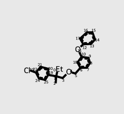 CCC(C)(COCc1cccc(Oc2ccccc2)c1)c1ccc(Cl)cc1